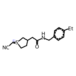 CCc1ccc(CNC(=O)CC2CC/S(=C\C#N)C2)cc1